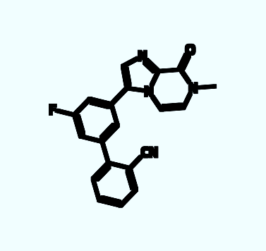 Cn1ccn2c(-c3cc(F)cc(-c4ccccc4C#N)c3)cnc2c1=O